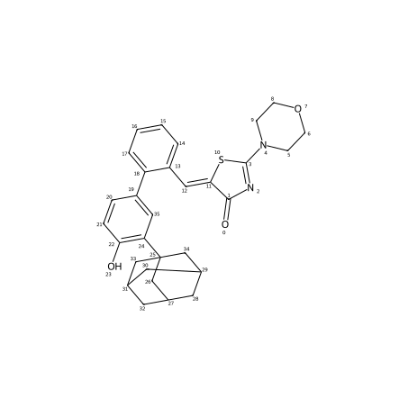 O=C1N=C(N2CCOCC2)SC1=Cc1ccccc1-c1ccc(O)c(C23CC4CC(CC(C4)C2)C3)c1